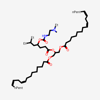 CCCCC/C=C\C/C=C\CCCCCCCC(=O)OCC(COC(=O)CCCCCCC/C=C\C/C=C\CCCCC)OC(=O)CCC(CC(CC)CC)OC(=O)NCCN(C)CC